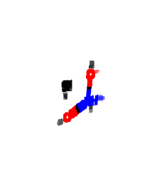 O=[NH+][O-].[Si]